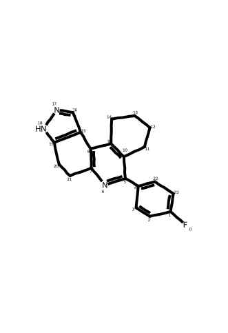 Fc1ccc(-c2nc3c(c4c2CCCC4)-c2cn[nH]c2CC3)cc1